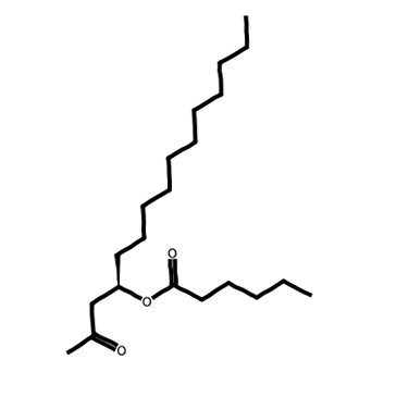 CCCCCCCCCCC[C@H](CC(C)=O)OC(=O)CCCCC